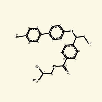 CC(C)CC(Oc1ccc(-c2ccc(C(C)(C)C)cc2)cc1)c1ccc(C(=O)NCC(O)C(=O)O)cc1